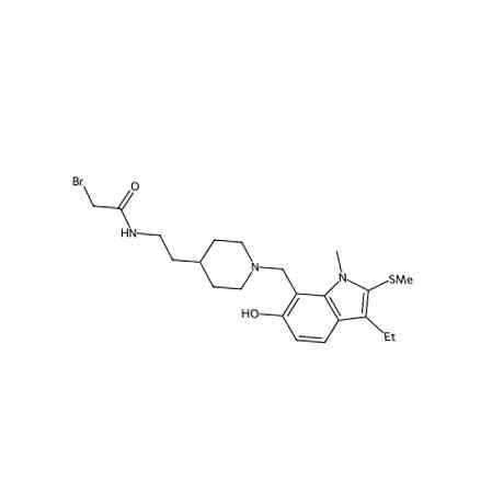 CCc1c(SC)n(C)c2c(CN3CCC(CCNC(=O)CBr)CC3)c(O)ccc12